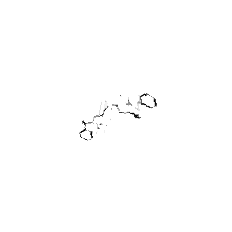 O=C(CC1C(=O)c2ccccc2S1(=O)=O)NC1=NN(c2ccccc2)C(=O)C1